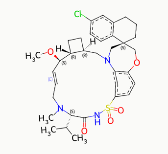 CO[C@@H]1/C=C/CN(C)[C@@H](C(C)C)C(=O)NS(=O)(=O)c2ccc3c(c2)N(C[C@@H]2CC[C@H]21)C[C@@]1(CCCc2cc(Cl)ccc21)CO3